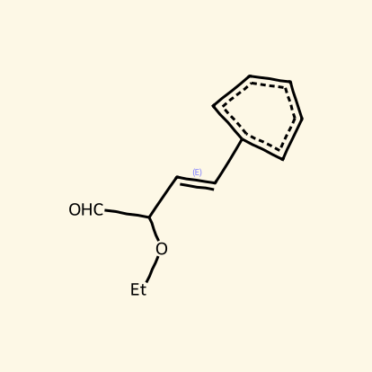 CCOC(C=O)/C=C/c1ccccc1